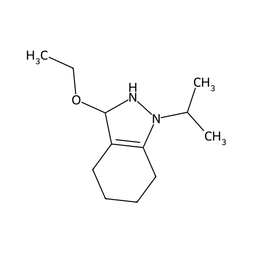 CCOC1NN(C(C)C)C2=C1CCCC2